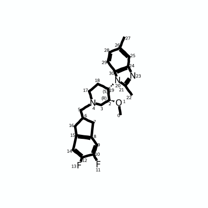 CO[C@@H]1CN(CC2Cc3cc(F)c(F)cc3C2)CC[C@@H]1n1c(C)nc2cc(C)ccc21